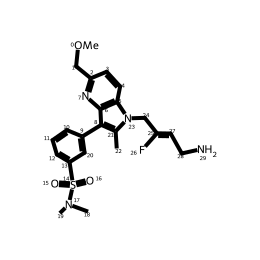 COCc1ccc2c(n1)c(-c1cccc(S(=O)(=O)N(C)C)c1)c(C)n2CC(F)=CCN